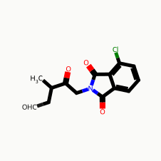 CC(CC=O)C(=O)CN1C(=O)c2cccc(Cl)c2C1=O